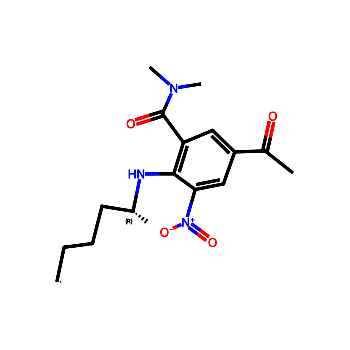 [CH2]CCC[C@@H](C)Nc1c(C(=O)N(C)C)cc(C(C)=O)cc1[N+](=O)[O-]